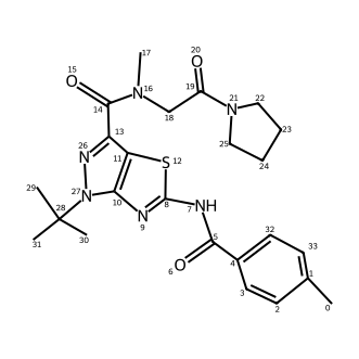 Cc1ccc(C(=O)Nc2nc3c(s2)c(C(=O)N(C)CC(=O)N2CCCC2)nn3C(C)(C)C)cc1